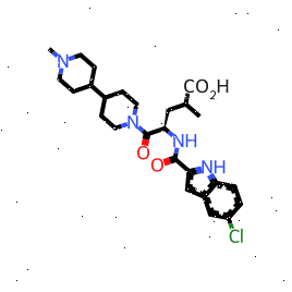 CC(C[C@@H](NC(=O)c1cc2cc(Cl)ccc2[nH]1)C(=O)N1CCC(C2CCN(C)CC2)CC1)C(=O)O